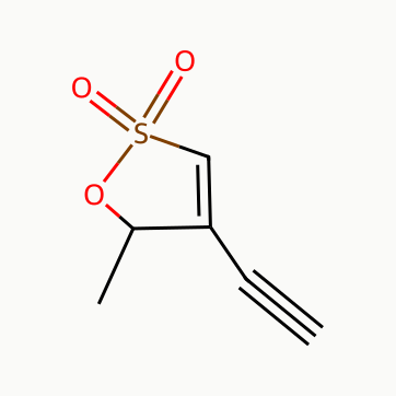 C#CC1=CS(=O)(=O)OC1C